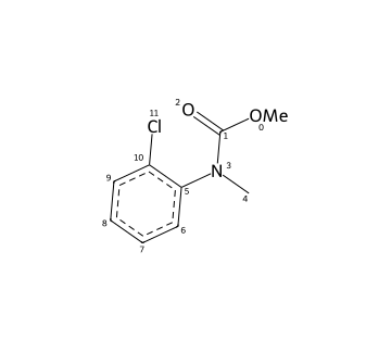 [CH2]OC(=O)N(C)c1ccccc1Cl